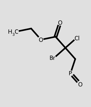 CCOC(=O)C(Cl)(Br)CP=O